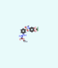 CN(c1ccc2c(c1)OC(F)(F)O2)S(=O)(=O)c1cccc(NNC(=O)OC(C)(C)C)c1